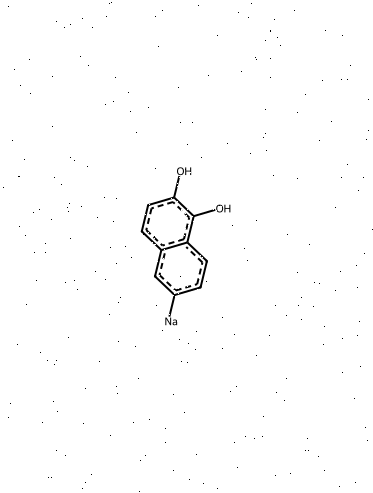 Oc1ccc2c[c]([Na])ccc2c1O